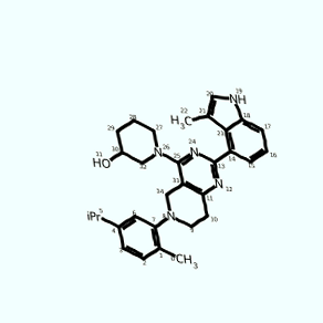 Cc1ccc(C(C)C)cc1N1CCc2nc(-c3cccc4[nH]cc(C)c34)nc(N3CCCC(O)C3)c2C1